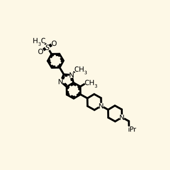 Cc1c(C2CCN(C3CCN(CC(C)C)CC3)CC2)ccc2nc(-c3ccc(S(C)(=O)=O)cc3)n(C)c12